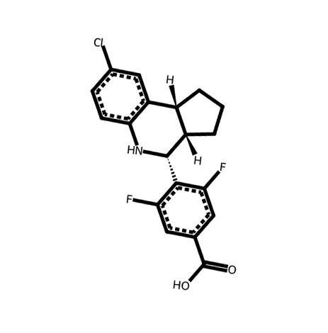 O=C(O)c1cc(F)c([C@@H]2Nc3ccc(Cl)cc3[C@@H]3CCC[C@@H]32)c(F)c1